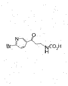 O=C(O)NCCC(=O)c1ccc(Br)nc1